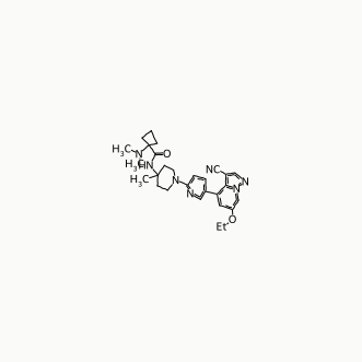 CCOc1cc(-c2ccc(N3CCC(C)(NC(=O)C4(N(C)C)CCC4)CC3)nc2)c2c(C#N)cnn2c1